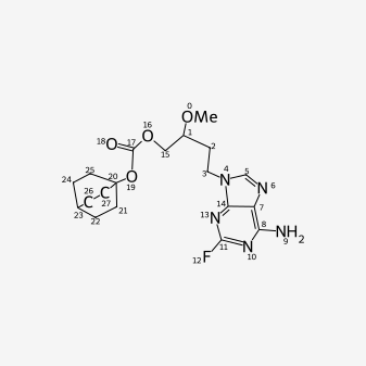 COC(CCn1cnc2c(N)nc(F)nc21)COC(=O)OC12CCC(CC1)CC2